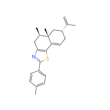 C=C(C)[C@@H]1CC=C2c3sc(-c4ccc(C)cc4)nc3C[C@@H](C)[C@]2(C)C1